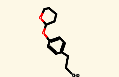 O=CCCc1ccc(OC2CCCCO2)cc1